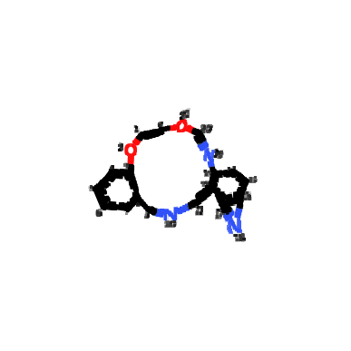 C1=COc2ccccc2C=NC=c2c(ccc3c2=N3)N=CO1